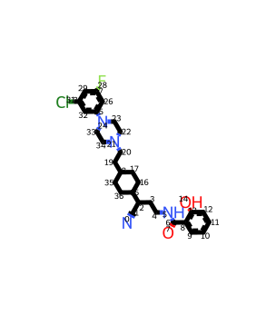 N#CC(CCNC(=O)c1ccccc1O)C1CCC(CCN2CCN(c3cc(F)cc(Cl)c3)CC2)CC1